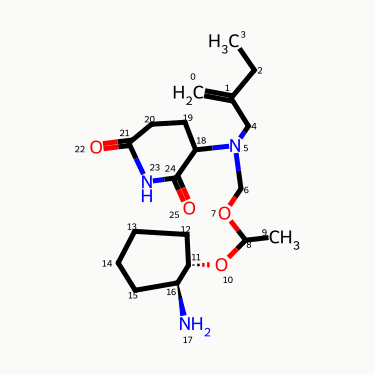 C=C(CC)CN(COC(C)O[C@H]1CCCC[C@@H]1N)C1CCC(=O)NC1=O